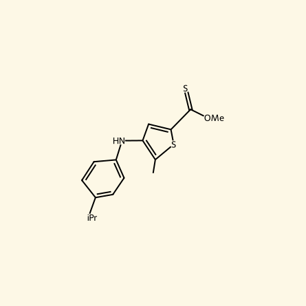 COC(=S)c1cc(Nc2ccc(C(C)C)cc2)c(C)s1